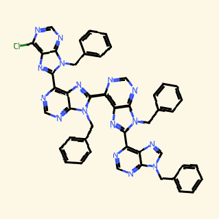 Clc1ncnc2c1nc(-c1ncnc3c1nc(-c1ncnc4c1nc(-c1ncnc5c1ncn5Cc1ccccc1)n4Cc1ccccc1)n3Cc1ccccc1)n2Cc1ccccc1